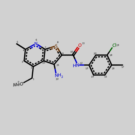 COCc1cc(C)nc2sc(C(=O)Nc3ccc(C)c(Cl)c3)c(N)c12